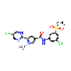 Cn1cc(C(=O)Nc2cc(Cl)cc(S(C)(=O)=O)c2)cc1-c1ncc(Cl)cn1